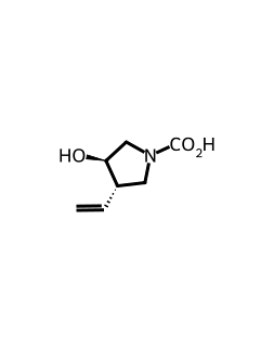 C=C[C@H]1CN(C(=O)O)C[C@@H]1O